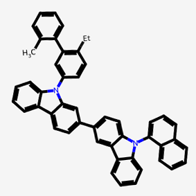 CCc1ccc(-n2c3ccccc3c3ccc(-c4ccc5c(c4)c4ccccc4n5-c4cccc5ccccc45)cc32)cc1-c1ccccc1C